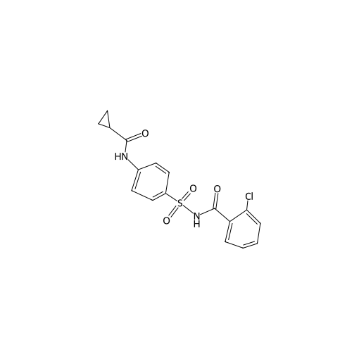 O=C(NS(=O)(=O)c1ccc(NC(=O)C2CC2)cc1)c1ccccc1Cl